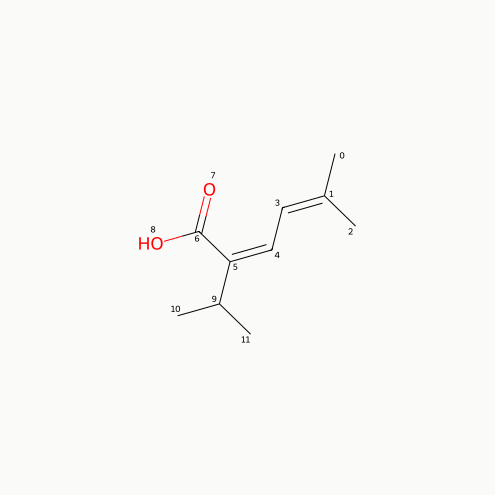 CC(C)=C/C=C(\C(=O)O)C(C)C